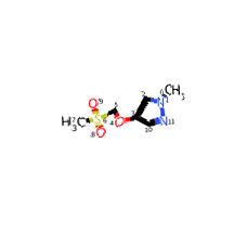 Cn1cc(OCS(C)(=O)=O)cn1